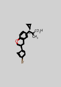 C[C@H](C(=O)O)[C@H](c1ccc2c(c1)CC(c1ccc(Br)cc1)CO2)C1CC1